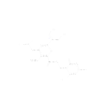 C/C=C(\CC)c1cc(C(=O)NCc2c(C)cc(C)[nH]c2=O)c(C=N)c(NC(C)C)n1